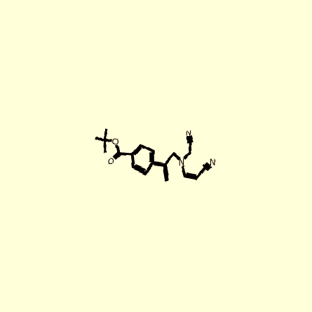 C=C(CN(/C=C\C#N)CC#N)c1ccc(C(=O)OC(C)(C)C)cc1